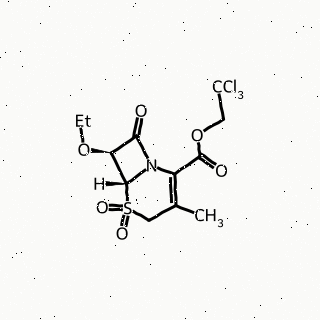 CCO[C@H]1C(=O)N2C(C(=O)OCC(Cl)(Cl)Cl)=C(C)CS(=O)(=O)[C@H]12